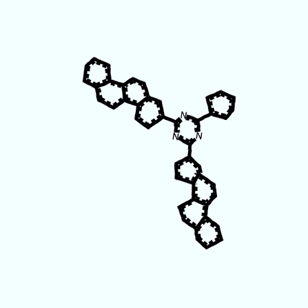 c1ccc(-c2nc(-c3ccc4c(ccc5c6ccccc6ccc45)c3)nc(-c3ccc4c(ccc5c6ccccc6ccc45)c3)n2)cc1